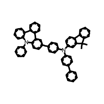 CC1(C)c2ccccc2-c2ccc(N(c3ccc(-c4ccccc4)cc3)c3ccc(-c4ccc5c(c4)-c4ccccc4-c4ccccc4N5c4ccccc4)cc3)cc21